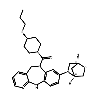 CCCO[C@H]1CC[C@@H](C(=O)N2Cc3cccnc3Nc3ccc(N4C[C@@H]5C[C@H]4CO5)cc32)CC1